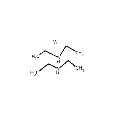 CCNCC.CCNCC.[W]